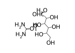 C=O.NC(N)=O.O.O=CC(O)C(O)C(O)C(O)CO